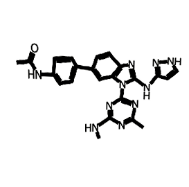 CNc1nc(C)nc(-n2c(Nc3cc[nH]n3)nc3ccc(-c4ccc(NC(C)=O)cc4)cc32)n1